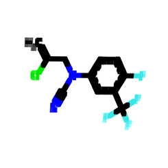 C=C(Cl)CN(C#N)c1ccc(F)c(C(F)(F)F)c1